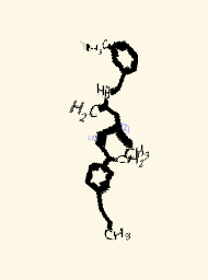 C=C(BCc1cccc(C)c1)CC(/C=C\C(=C)c1ccc(CCC)cc1)=C/C